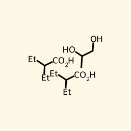 CC(O)CO.CCC(CC)C(=O)O.CCC(CC)C(=O)O